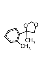 Cc1ccccc1C1(C)COCO1